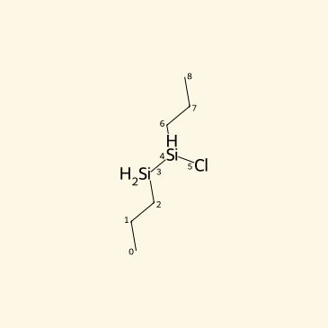 CCC[SiH2][SiH](Cl)CCC